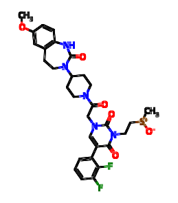 COc1ccc2c(c1)CCN(C1CCN(C(=O)Cn3cc(-c4cccc(F)c4F)c(=O)n(CC[S+](C)[O-])c3=O)CC1)C(=O)N2